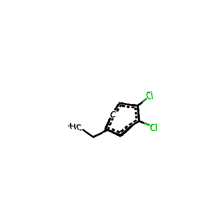 [CH]Cc1ccc(Cl)c(Cl)c1